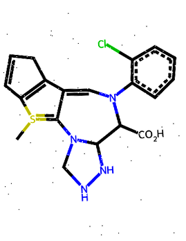 CS1=C2C(=CN(c3ccccc3Cl)C(C(=O)O)C3NNCN23)C2=C1C=CC2